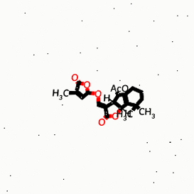 CC(=O)OC1C2=C([C@H]3OC(=O)/C(=C/OC4C=C(C)C(=O)O4)[C@@H]13)C(C)(C)CCC2